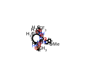 COc1cccc2c(O[C@@H]3C[C@H]4C(=O)N[C@]5(C(=O)NS(=O)(=O)C6(C)CC6)C[C@H]5C=CCC[C@H](C)C[C@@H](C)[C@H](NC(=O)OC(C)(C)C(F)(F)F)C(=O)N4C3)nccc12